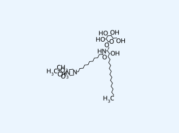 CCCCCCCCCCCCCCC[C@@H](O)[C@H](COC1OC(CO)C(O)C(O)C1O)NC(=O)CCCCCCCCCCN1CCN(C(=O)OC(C)(C)C)CC1